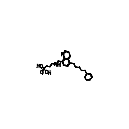 O=P(O)(O)CCCNCc1ccc(CCCCCc2ccccc2)c2cccnc12